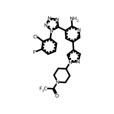 Nc1ncc(-c2cnn(C3CCN(C(=O)C(F)(F)F)CC3)c2)cc1-c1nnnn1-c1cccc(F)c1Cl